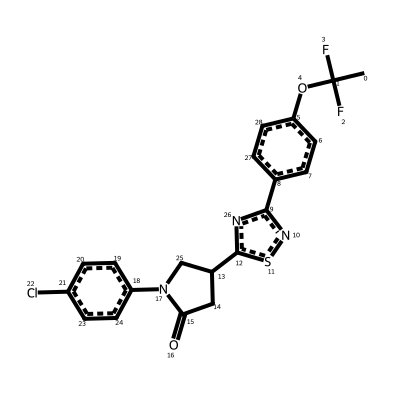 CC(F)(F)Oc1ccc(-c2nsc(C3CC(=O)N(c4ccc(Cl)cc4)C3)n2)cc1